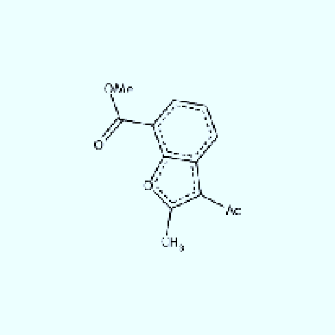 COC(=O)c1cccc2c(C(C)=O)c(C)oc12